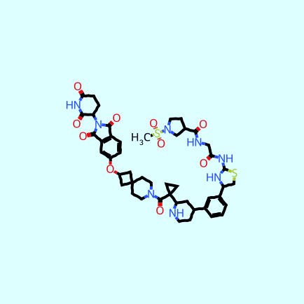 CS(=O)(=O)N1CCC(C(=O)NCC(=O)NC2NC(c3cccc(C4CCNC(C5(C(=O)N6CCC7(CC6)CC(Oc6ccc8c(c6)C(=O)N(C6CCC(=O)NC6=O)C8=O)C7)CC5)C4)c3)CS2)C1